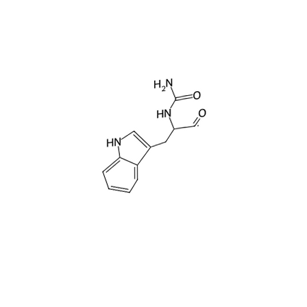 NC(=O)NC([C]=O)Cc1c[nH]c2ccccc12